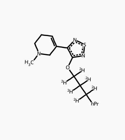 [2H]C([2H])(CCC)C([2H])([2H])C([2H])([2H])Oc1nsnc1C1=CCCN(C)C1